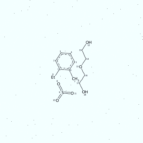 CCc1ccccc1C.O=S(=O)=O.OCCOCCO